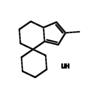 CC1=CC2CCCC3(CCCCC3)C2=C1.[LiH]